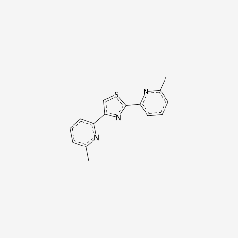 Cc1cccc(-c2csc(-c3cccc(C)n3)n2)n1